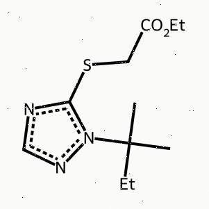 CCOC(=O)CSc1ncnn1C(C)(C)CC